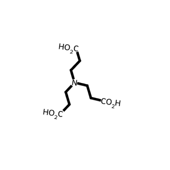 O=C(O)CCN(CCC(=O)O)CCC(=O)O